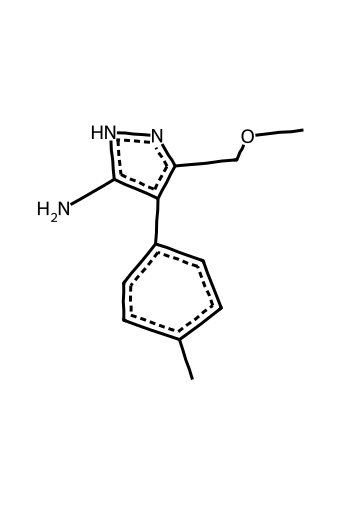 COCc1n[nH]c(N)c1-c1ccc(C)cc1